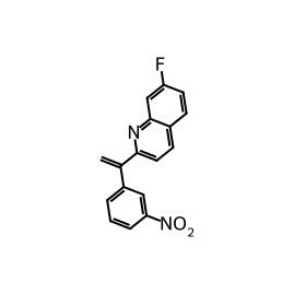 C=C(c1cccc([N+](=O)[O-])c1)c1ccc2ccc(F)cc2n1